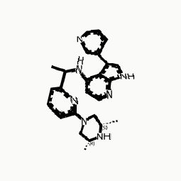 CC(Nc1ccnc2[nH]cc(-c3cccnc3)c12)c1cccc(N2C[C@@H](C)N[C@@H](C)C2)n1